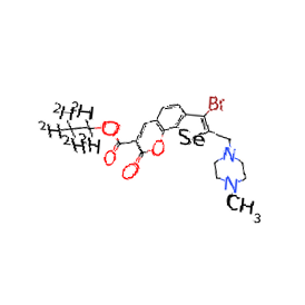 [2H]C([2H])([2H])C([2H])([2H])OC(=O)c1cc2ccc3c(Br)c(CN4CCN(C)CC4)[se]c3c2oc1=O